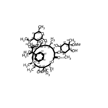 CC[C@H]1OC(=O)[C@H](C)[C@@H](O[C@H]2C[C@@](C)(OC)[C@@H](O)[C@H](C)O2)[C@H](C)[C@@H](O[C@@H]2O[C@H](C)CC(N(C)C)[C@H]2OC(=O)C(C)c2ccccc2)[C@](C)(O)C[C@@H](C)CN(C)[C@H](C)[C@@H](O)[C@]1(C)O